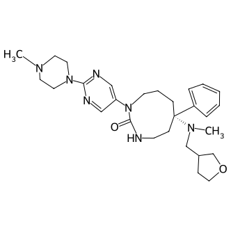 CN1CCN(c2ncc(N3CCC[C@](c4ccccc4)(N(C)CC4CCOC4)CCNC3=O)cn2)CC1